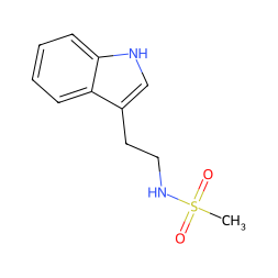 CS(=O)(=O)NCCc1c[nH]c2ccccc12